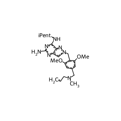 C=CCN(C)Cc1cc(OC)c(Cn2cc3nc(N)nc(N[C@H](C)CCC)c3n2)c(OC)c1